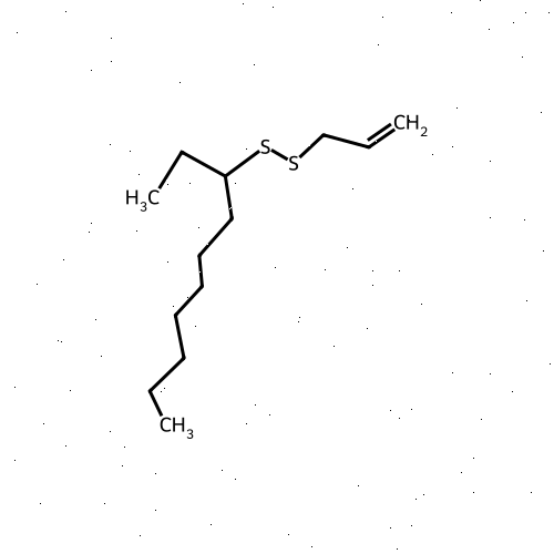 C=CCSSC(CC)CCCCCCC